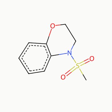 CS(=O)(=O)N1CCOc2ccccc21